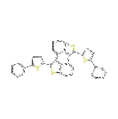 c1ccc(-c2ccc(-c3sc4cccc5c6c(-c7ccc(-c8ccccc8)s7)sc7cccc(c3c45)c76)s2)cc1